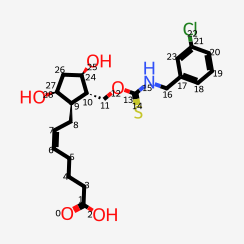 O=C(O)CCC/C=C\C[C@@H]1[C@@H](COC(=S)NCc2cccc(Cl)c2)[C@H](O)C[C@@H]1O